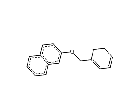 [CH]1CC=CC=C1COc1ccc2ccccc2c1